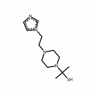 CC(C)(S)N1CCN(CCn2ccnc2)CC1